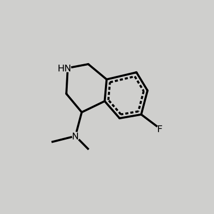 CN(C)C1CNCc2ccc(F)cc21